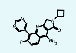 Nc1c2c(nc3c(-c4cncnc4)c(F)ccc13)CN(C1CCC1)C2=O